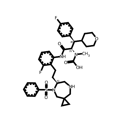 CN(C(=O)O)[C@H](C(=O)Nc1cccc(F)c1CC[C@H]1CNCC2(CC2)CN1S(=O)(=O)c1ccccc1)[C@@H](c1ccc(F)cc1)C1CCOCC1